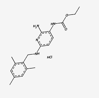 CCOC(=O)Nc1ccc(NCc2c(C)cc(C)cc2C)nc1N.Cl